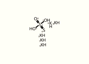 O=S(O)(O)=S.[KH].[KH].[KH].[KH].[KH]